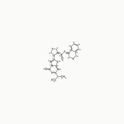 CC(C)c1cc(=O)n2nc(C3CCCN3C(=O)CN3CCCc4ccccc43)sc2n1